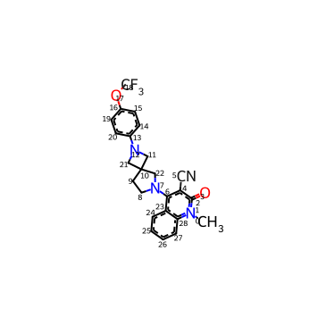 Cn1c(=O)c(C#N)c(N2CCC3(CN(c4ccc(OC(F)(F)F)cc4)C3)C2)c2ccccc21